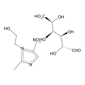 Cc1ncc([N+](=O)[O-])n1CCO.O=C[C@H](O)[C@H](O)[C@@H](O)[C@H](O)C(=O)O